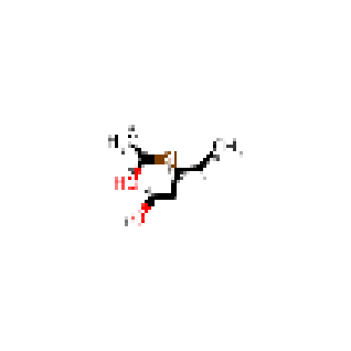 CCC(CC=O)[SH]=C(C)O